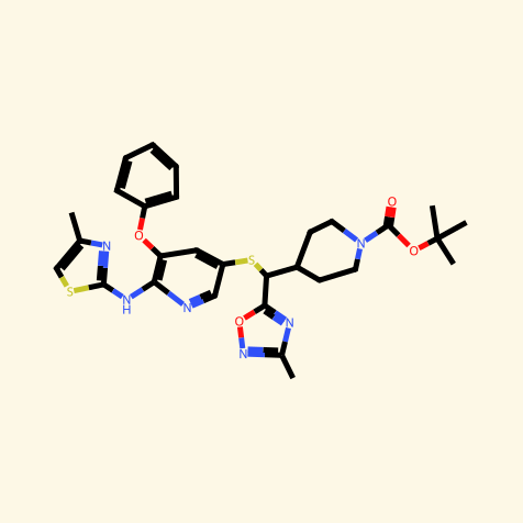 Cc1csc(Nc2ncc(SC(c3nc(C)no3)C3CCN(C(=O)OC(C)(C)C)CC3)cc2Oc2ccccc2)n1